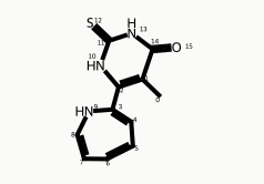 Cc1c(C2=CC=CC=CN2)[nH]c(=S)[nH]c1=O